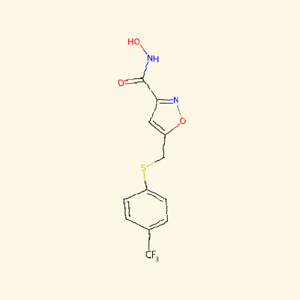 O=C(NO)c1cc(CSc2ccc(C(F)(F)F)cc2)on1